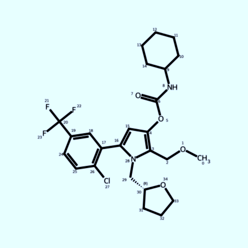 COCc1c(OC(=O)NC2CCCCC2)cc(-c2cc(C(F)(F)F)ccc2Cl)n1C[C@H]1CCCO1